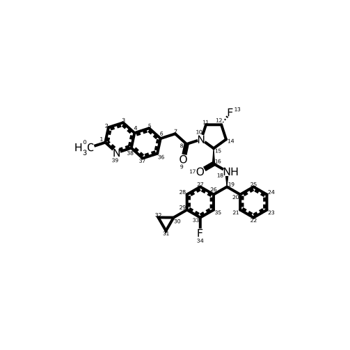 Cc1ccc2cc(CC(=O)N3C[C@H](F)C[C@H]3C(=O)N[C@@H](c3ccccc3)c3ccc(C4CC4)c(F)c3)ccc2n1